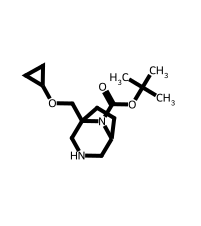 CC(C)(C)OC(=O)N1C2CCC1(COC1CC1)CNC2